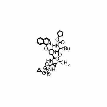 C=C[C@@H]1C[C@]1(NC(=O)C1C[C@@H](Oc2nccc3ccccc23)CN1C(=O)[C@@H](NC(=O)OC1CCCC1)C(C)(C)C)C(=O)NS(=O)(=O)OC1CC1